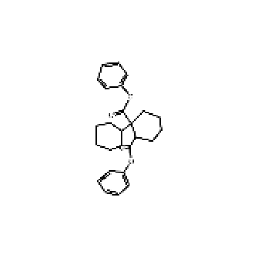 O=C(Oc1ccccc1)C1CCCCC1(C(=O)Oc1ccccc1)C1CCCCC1